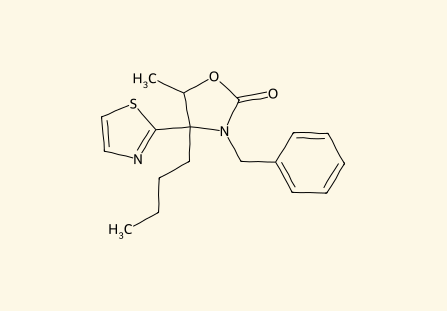 CCCCC1(c2nccs2)C(C)OC(=O)N1Cc1ccccc1